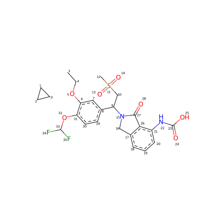 C1CC1.CCOc1cc(C(CS(C)(=O)=O)N2Cc3cccc(NC(=O)O)c3C2=O)ccc1OC(F)F